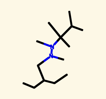 CCC(CC)CN(C)N(C)C(C)(C)C(C)C